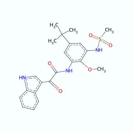 COc1c(NC(=O)C(=O)c2c[nH]c3ccccc23)cc(C(C)(C)C)cc1NS(C)(=O)=O